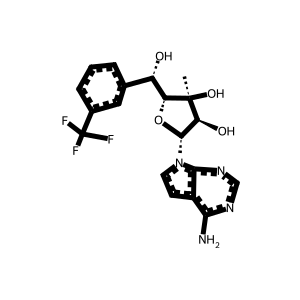 C[C@@]1(O)[C@@H]([C@@H](O)c2cccc(C(F)(F)F)c2)O[C@@H](n2ccc3c(N)ncnc32)[C@@H]1O